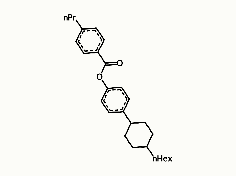 CCCCCCC1CCC(c2ccc(OC(=O)c3ccc(CCC)cc3)cc2)CC1